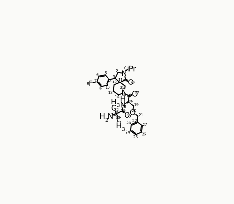 CC(C)N1CC(c2ccc(F)cc2)C2(CCCN(C(=O)[C@@H](COCc3ccccc3)NC(=O)C(C)(C)N)C2)C1=O